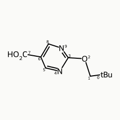 CC(C)(C)COc1ncc(C(=O)O)cn1